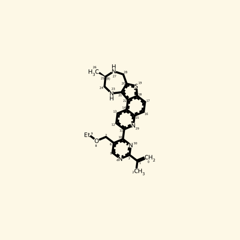 C=C(C)c1ncc(COCC)c(-c2ccc3c(ccc4sc5c(c43)NC[C@@H](C)NC5)n2)n1